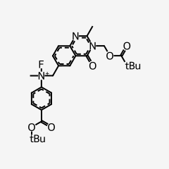 Cc1nc2ccc(C[N+](C)(F)c3ccc(C(=O)OC(C)(C)C)cc3)cc2c(=O)n1COC(=O)C(C)(C)C